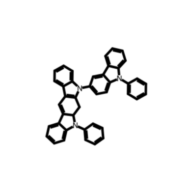 C1=C2c3ccccc3N(c3ccccc3)C2Cc2c1c1ccccc1n2-c1ccc2c(c1)c1ccccc1n2-c1ccccc1